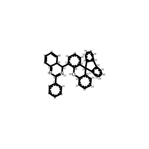 C1=CC2=NC(c3ccccc3)=NC(c3cccc4c3Oc3ccccc3C43c4ccccc4-c4ccccc43)C2C=C1